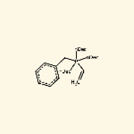 C=CP(CCCCCCCCCC)(CCCCCCCCCC)(CCCCCCCCCC)Cc1ccccc1